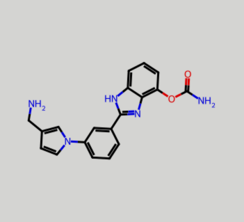 NCc1ccn(-c2cccc(-c3nc4c(OC(N)=O)cccc4[nH]3)c2)c1